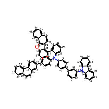 c1cc(-c2ccc(N(c3ccc(-c4ccc5c(ccc6ccccc65)c4)cc3)c3ccccc3-c3cccc4oc5c6ccccc6ccc5c34)cc2)cc(-n2c3ccccc3c3ccccc32)c1